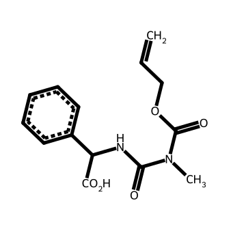 C=CCOC(=O)N(C)C(=O)NC(C(=O)O)c1ccccc1